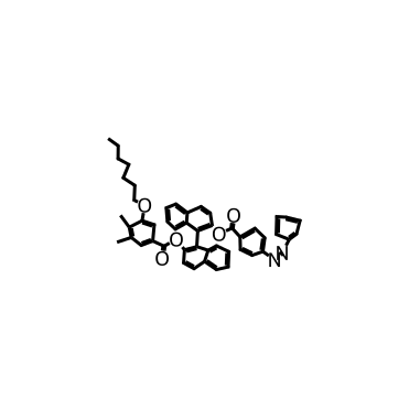 CCCCCCCOc1cc(C(=O)Oc2ccc3ccccc3c2-c2c(OC(=O)c3ccc(/N=N\c4ccccc4)cc3)ccc3ccccc23)cc(C)c1C